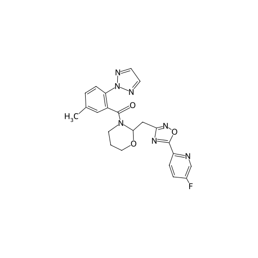 Cc1ccc(-n2nccn2)c(C(=O)N2CCCOC2Cc2noc(-c3ccc(F)cn3)n2)c1